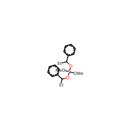 CCC(O[Si](OC)(OC)OC(CC)c1ccccc1)c1ccccc1